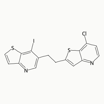 Clc1ccnc2cc(CCc3cnc4ccsc4c3I)sc12